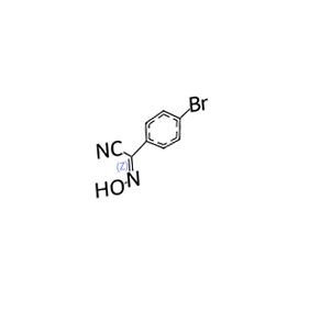 N#C/C(=N\O)c1ccc(Br)cc1